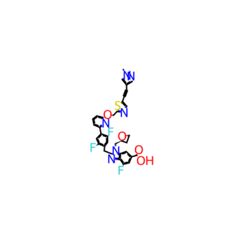 Cn1cc(C#Cc2cnc(COc3cccc(-c4cc(F)c(Cc5nc6c(F)cc(C(=O)O)cc6n5C[C@@H]5CCO5)cc4F)n3)s2)cn1